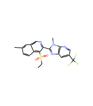 CCS(=O)(=O)c1c(-c2nc3cc(C(F)(F)F)cnc3n2C)ncc2cc(C)ccc12